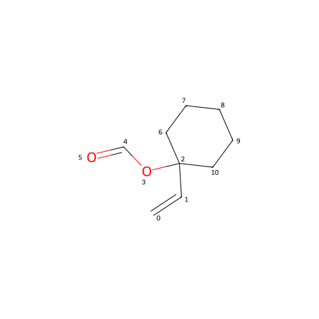 C=CC1(OC=O)CCCCC1